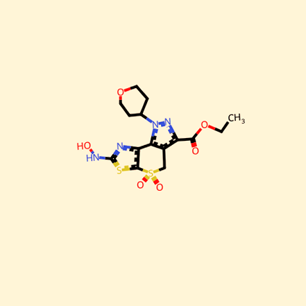 CCOC(=O)c1nn(C2CCOCC2)c2c1CS(=O)(=O)c1sc(NO)nc1-2